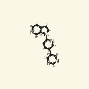 c1cc2ccn(-c3ccc(-c4cncnc4)cn3)c2cn1